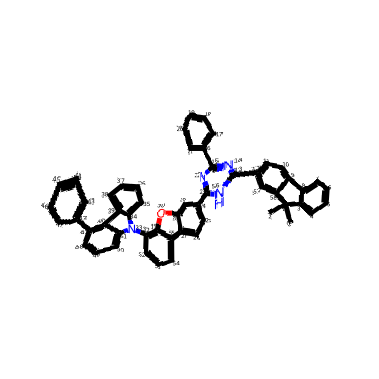 CC1(C)c2ccccc2-c2ccc(C3N=C(c4ccccc4)N=C(c4ccc5c(c4)oc4c(-n6c7ccccc7c7c(-c8ccccc8)cccc76)cccc45)N3)cc21